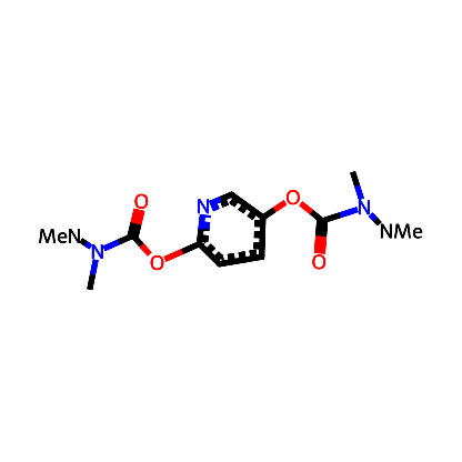 CNN(C)C(=O)Oc1ccc(OC(=O)N(C)NC)nc1